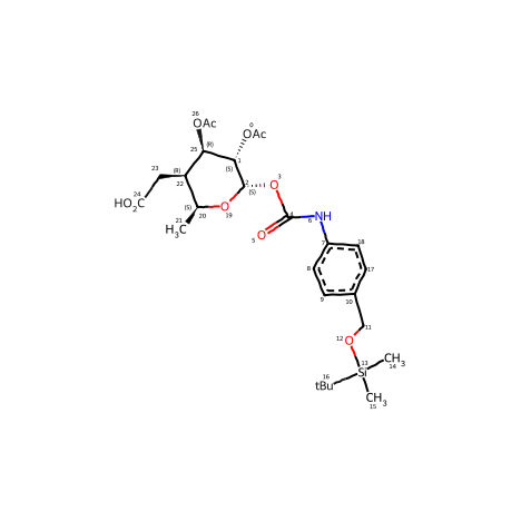 CC(=O)O[C@@H]1[C@H](OC(=O)Nc2ccc(CO[Si](C)(C)C(C)(C)C)cc2)O[C@@H](C)[C@@H](CC(=O)O)[C@H]1OC(C)=O